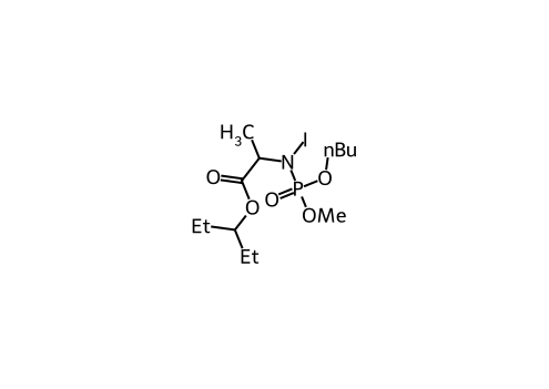 CCCCOP(=O)(OC)N(I)C(C)C(=O)OC(CC)CC